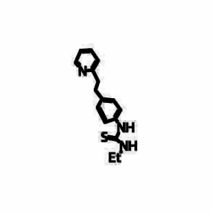 CCNC(=S)Nc1ccc(CCc2ccccn2)cc1